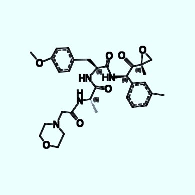 COc1ccc(C[C@H](NC(=O)[C@H](C)NC(=O)CN2CCOCC2)C(=O)N[C@@H](C(=O)[C@@]2(C)CO2)c2cccc(C)c2)cc1